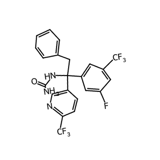 NC(=O)NC(Cc1ccccc1)(c1ccc(C(F)(F)F)nc1)c1cc(F)cc(C(F)(F)F)c1